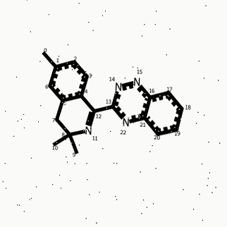 Cc1ccc2c(c1)CC(C)(C)N=C2c1nnc2ccccc2n1